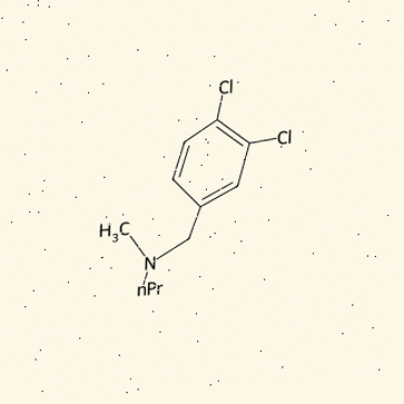 CCCN(C)Cc1ccc(Cl)c(Cl)c1